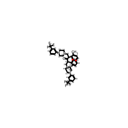 Cc1ccccc1C(CN1CCN(c2cccc(C(F)(F)F)c2)CC1)C(=O)C(CN1CCN(c2cccc(C(F)(F)F)c2)CC1)c1ccccc1C